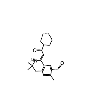 Cc1cc2c(cc1C=O)/C(=C/C(=O)C1CCCCC1)NC(C)(C)C2